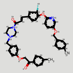 Cc1ccc(C(=O)COc2ccc(CN3CCN(C(=O)C=Cc4ccc(Oc5ccc(OCc6ccc(C#N)cc6)cn5)c(F)c4)CC3)cc2)cc1